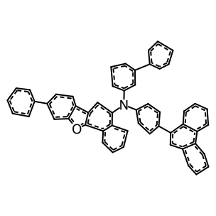 c1ccc(-c2cccc(N(c3ccc(-c4cc5ccccc5c5ccccc45)cc3)c3cc4c5ccc(-c6ccccc6)cc5oc4c4ccccc34)c2)cc1